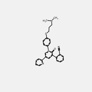 CN(C)CCCOc1ccc(-n2cc(-c3ccccn3)cc(-c3ccccc3C#N)c2=O)cc1